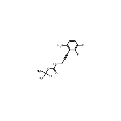 CC(C)(C)OC(=O)NCC#Cc1c(N)ccc(F)c1F